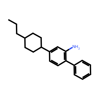 CCCC1CCC(c2ccc(-c3ccccc3)c(N)c2)CC1